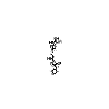 N=C(N)Nc1nc(CSCCNc2ncc(CC3CCCCC3)c(=O)[nH]2)cs1